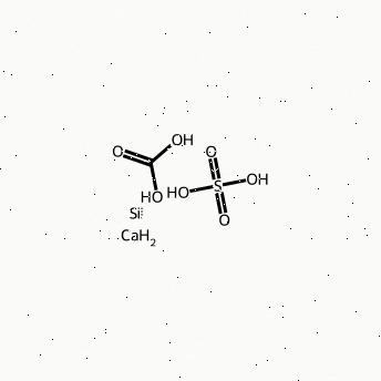 O=C(O)O.O=S(=O)(O)O.[CaH2].[Si]